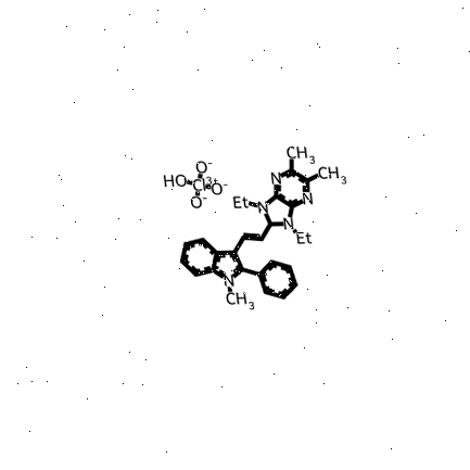 CCN1c2nc(C)c(C)nc2N(CC)C1C=Cc1c(-c2ccccc2)n(C)c2ccccc12.[O-][Cl+3]([O-])([O-])O